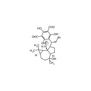 CC(C)C[C@H](c1c(O)c(C=O)c(O)c(C=O)c1O)[C@@]1(C)CC[C@@H]2[C@@H]1[C@H]1[C@@H](CC[C@@]2(C)O)C1(C)C